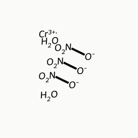 O.O.O=[N+]([O-])[O-].O=[N+]([O-])[O-].O=[N+]([O-])[O-].[Cr+3]